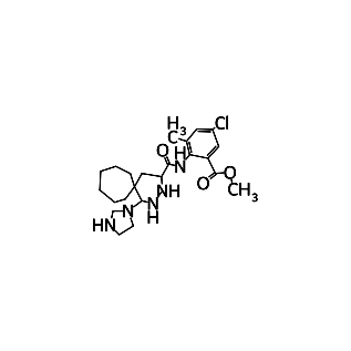 COC(=O)c1cc(Cl)cc(C)c1NC(=O)C1CC2(CCCCCC2)C(N2CCNC2)NN1